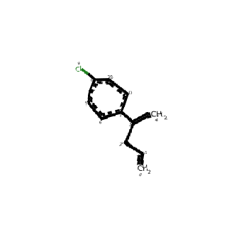 C=CCC(=C)c1ccc(Cl)cc1